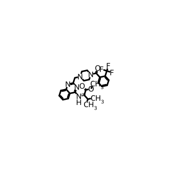 COC(=O)[C@@H](Nc1nc(CN2CCN(C(=O)c3ccccc3C(F)(F)F)CC2)nc2ccccc12)C(C)C